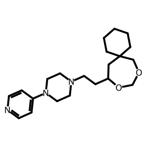 c1cc(N2CCN(CCC3CC4(CCCCC4)COCO3)CC2)ccn1